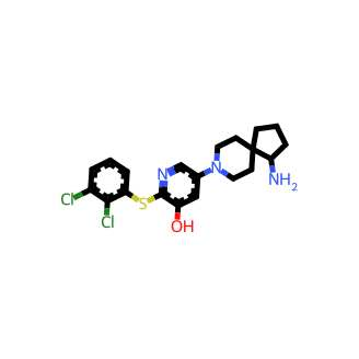 NC1CCCC12CCN(c1cnc(Sc3cccc(Cl)c3Cl)c(O)c1)CC2